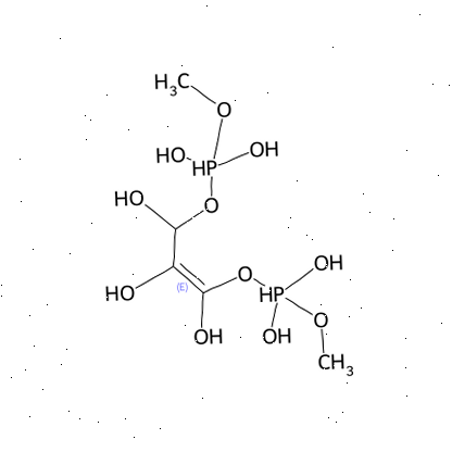 CO[PH](O)(O)O/C(O)=C(/O)C(O)O[PH](O)(O)OC